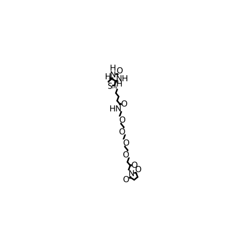 O=C(CCOCCOCCOCCOCCNC(=O)CCCC[C@@H]1SC[C@@H]2NC(=O)N[C@@H]21)CN1C(=O)CCC1=O